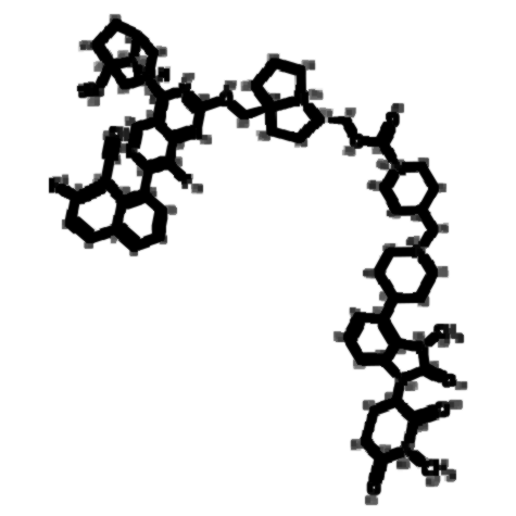 C#Cc1c(F)ccc2cccc(-c3ncc4c(N5CC6CCC(C(C)(C)C)(C5)N6C(=O)O)nc(OC[C@@]56CCCN5[C@H](COC(=O)N5CCC(CN7CCC(c8cccc9c8n(C)c(=O)n9C8CCC(=O)N(C)C8=O)CC7)CC5)CC6)nc4c3F)c12